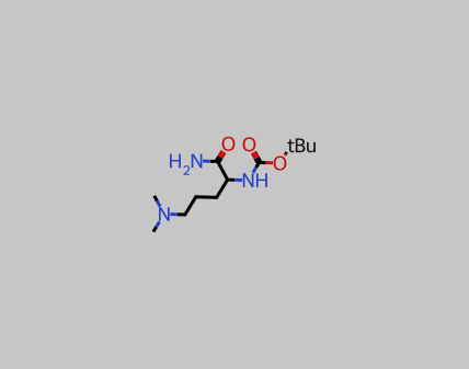 CN(C)CCCC(NC(=O)OC(C)(C)C)C(N)=O